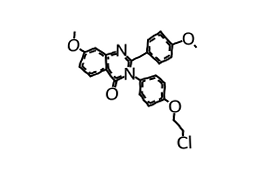 COc1ccc(-c2nc3cc(OC)ccc3c(=O)n2-c2ccc(OCCCl)cc2)cc1